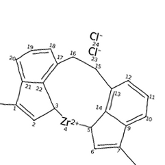 CC1=C[CH]2[Zr+2][CH]3C=C(C)c4cccc(c43)CCc3cccc1c32.[Cl-].[Cl-]